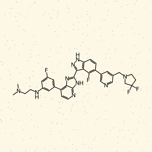 CN(C)CCNc1cc(F)cc(-c2ccnc3[nH]c(-c4n[nH]c5ccc(-c6cncc(CN7CCC(F)(F)C7)c6)c(F)c45)nc23)c1